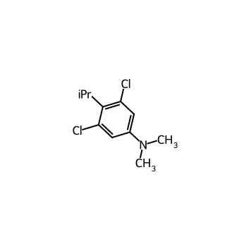 CC(C)c1c(Cl)cc(N(C)C)cc1Cl